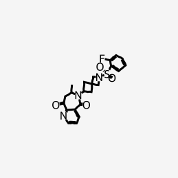 CC1CC(=O)c2ncccc2C(=O)N1C1CC2(C1)CN(S(=O)(=O)c1ccccc1F)C2